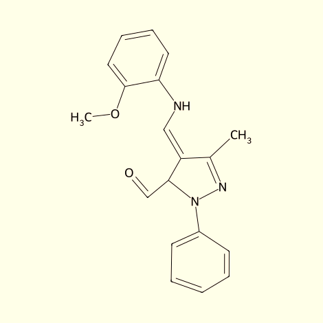 COc1ccccc1NC=C1C(C)=NN(c2ccccc2)C1C=O